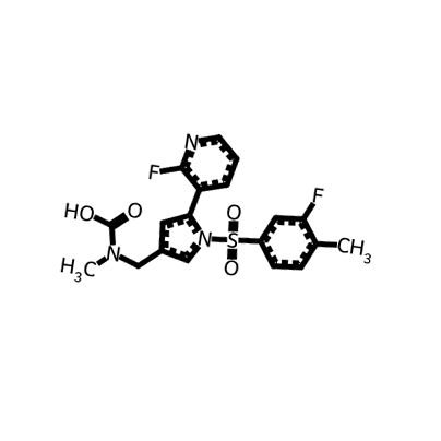 Cc1ccc(S(=O)(=O)n2cc(CN(C)C(=O)O)cc2-c2cccnc2F)cc1F